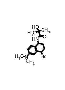 CN(C)c1ccc2c(c1)C(Br)CCC2NC(=O)C(C)(C)O